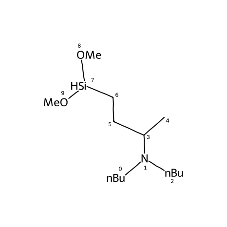 CCCCN(CCCC)C(C)CC[SiH](OC)OC